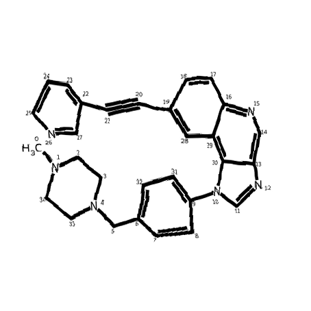 CN1CCN(Cc2ccc(-n3cnc4cnc5ccc(C#Cc6cccnc6)cc5c43)cc2)CC1